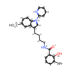 CC(C)c1cccc(C(=O)NCCCCc2cn(-c3ccccn3)c3ccc(C(=O)O)cc23)c1O